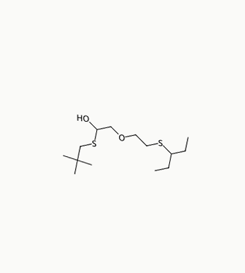 CCC(CC)SCCOCC(O)SCC(C)(C)C